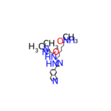 CNC(=O)CCCCC[C@H](NC(=O)c1cnn(C(C)C)c1)c1ncc(-c2ccc3ccncc3c2)[nH]1